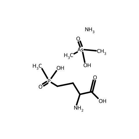 CP(=O)(O)CCC(N)C(=O)O.C[As](C)(=O)O.N